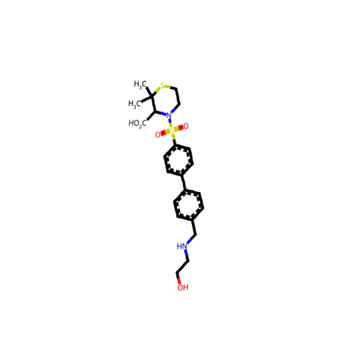 CC1(C)SCCN(S(=O)(=O)c2ccc(-c3ccc(CNCCO)cc3)cc2)C1C(=O)O